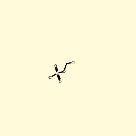 [O]S(=O)(=O)OCCl